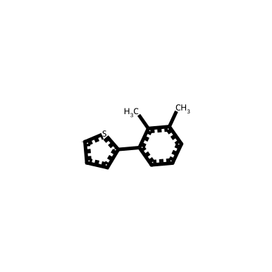 Cc1cccc(-c2cc[c]s2)c1C